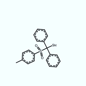 Cc1ccc(S(=O)(=O)C(S)(c2ccccc2)c2ccccc2)cc1